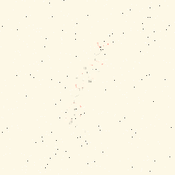 C[C@H]1CO[C@H]2[C@@H]1OC[C@H]2OC(=O)/C=C/C(=O)O[C@H]1CO[C@H]2[C@@H]1OC[C@H]2OC(=O)/C=C/C(=O)O